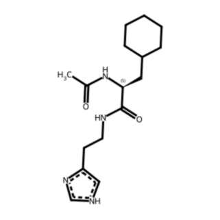 CC(=O)N[C@@H](CC1CCCCC1)C(=O)NCCc1c[nH]cn1